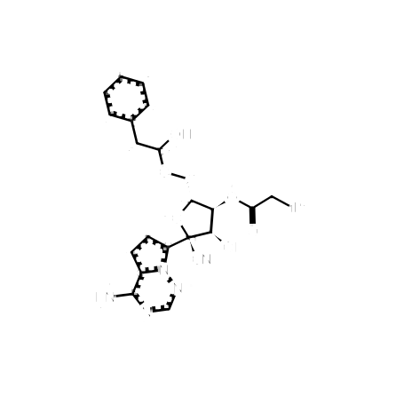 CC(C)CC(=O)O[C@H]1[C@@H](O)[C@](C#N)(c2ccc3c(N)ncnn23)O[C@@H]1COC(O)Cc1ccccc1